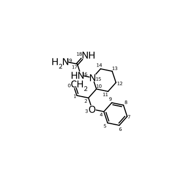 C=CC(Oc1ccccc1)C1CCCCN1NC(=N)N